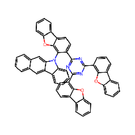 c1ccc2cc3c(cc2c1)c1ccccc1n3-c1c(-c2nc(-c3cccc4c3oc3ccccc34)nc(-c3cccc4c3oc3ccccc34)n2)ccc2c1oc1ccccc12